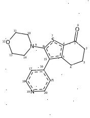 O=C1CCCc2c1sc(N1CCOCC1)c2-c1ccncc1